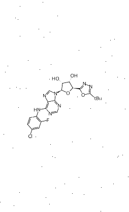 CC(C)(C)c1nnc([C@H]2O[C@@H](n3cnc4c(Nc5ccc(Cl)cc5F)ncnc43)[C@H](O)[C@@H]2O)o1